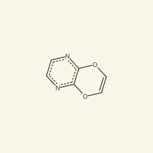 C1=COc2nccnc2O1